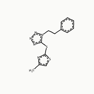 Cc1csc(Sc2nnnn2CCc2ccccc2)n1